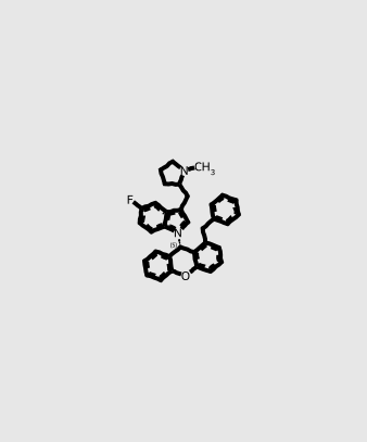 CN1CCCC1Cc1cn([C@H]2c3ccccc3Oc3cccc(Cc4ccccc4)c32)c2ccc(F)cc12